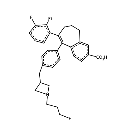 CCc1c(F)cccc1C1=C(c2ccc(CC3CN(CCCF)C3)cc2)c2ccc(C(=O)O)cc2CCC1